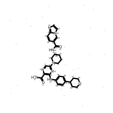 NC(=O)c1ncc(N2CCC[C@@H](NC(=O)c3ccc4nccn4c3)C2)nc1Nc1ccc(C2CCOCC2)cc1